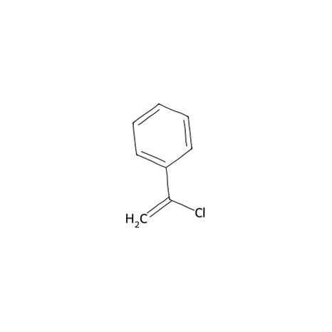 C=C(Cl)c1ccccc1